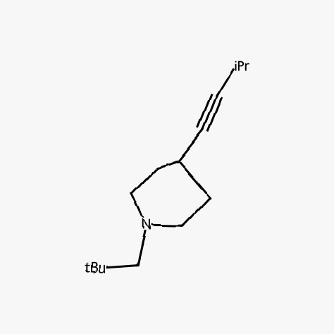 CC(C)C#CC1CCN(CC(C)(C)C)CC1